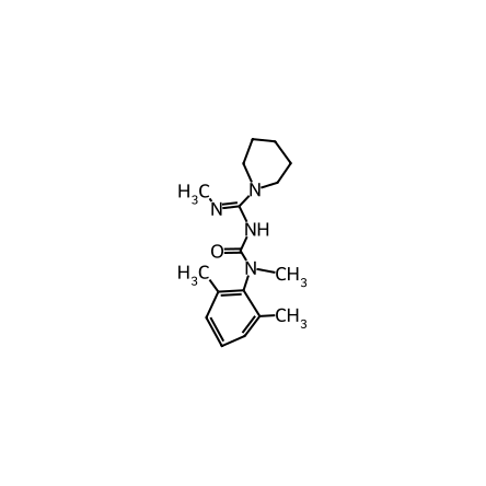 CN=C(NC(=O)N(C)c1c(C)cccc1C)N1CCCCC1